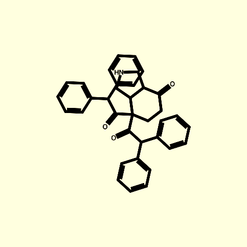 O=C1CCC(C(=O)C(c2ccccc2)c2ccccc2)(C(=O)C(c2ccccc2)c2ccccc2)C2CNCC12